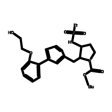 CCS(=O)(=O)NC1CCN(C(=O)OC(C)(C)C)C1Cc1cccc(-c2ccccc2OCCO)c1